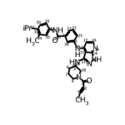 CC#CC(=O)N1CCC[C@@H](Nc2n[nH]c3nccc(Nc4cccc(C(=O)Nc5ccc(C(C)C)c(C)c5)c4)c23)C1